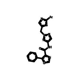 CC(=O)c1ncc(Cn2ncc(NC(=O)c3ncoc3-c3ccccc3)n2)s1